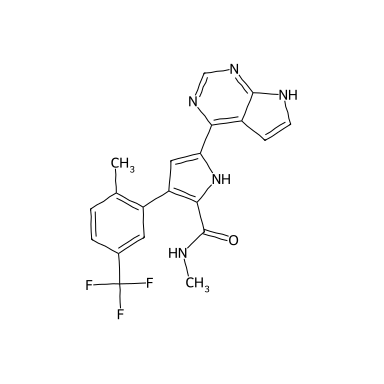 CNC(=O)c1[nH]c(-c2ncnc3[nH]ccc23)cc1-c1cc(C(F)(F)F)ccc1C